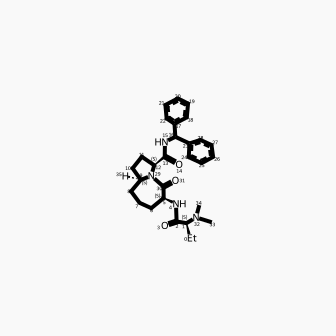 CC[C@@H](C(=O)N[C@H]1CCC[C@H]2CC[C@@H](C(=O)NC(c3ccccc3)c3ccccc3)N2C1=O)N(C)C